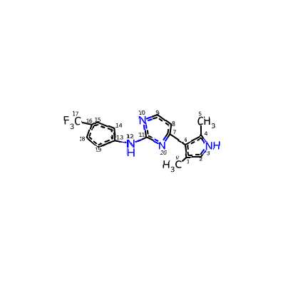 Cc1c[nH]c(C)c1-c1ccnc(Nc2ccc(C(F)(F)F)cc2)n1